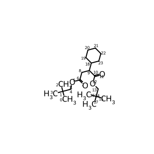 CC(C)(C)COC(=O)CC(C(=O)OCC(C)(C)C)C1CCCCC1